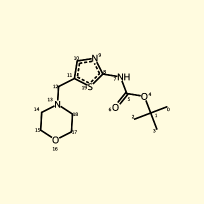 CC(C)(C)OC(=O)Nc1ncc(CN2CCOCC2)s1